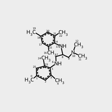 Cc1cc(C)c(NCC(CN(C)C)Nc2c(C)cc(C)cc2C)c(C)c1